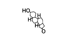 O=C1CC2CC[C@H]3C4CC[C@H](O)C[C@H]4CCC3[C@H]2C1